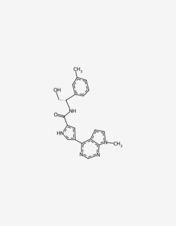 Cc1cccc([C@@H](CO)NC(=O)c2cc(-c3ncnc4c3ccn4C)c[nH]2)c1